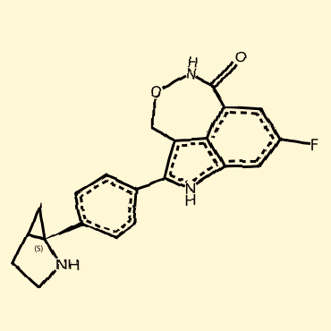 O=C1NOCc2c(-c3ccc([C@]45CC4CCN5)cc3)[nH]c3cc(F)cc1c23